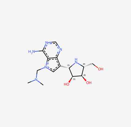 CN(C)Cn1cc([C@@H]2N[C@H](CO)[C@@H](O)[C@H]2O)c2ncnc(N)c21